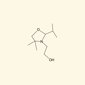 CC(C)C1OCC(C)(C)N1CCO